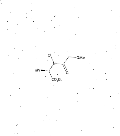 CCC[C@H](C(=O)OCC)N(Cl)C(=O)COC